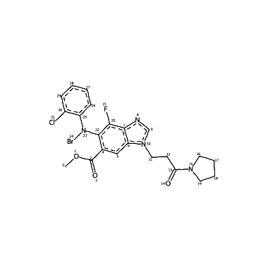 COC(=O)c1cc2c(ncn2CCC(=O)N2CCCC2)c(F)c1N(Br)c1ccccc1Cl